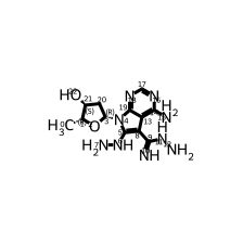 C[C@H]1O[C@@H](n2c(NN)c(C(=N)NN)c3c(N)ncnc32)C[C@@H]1O